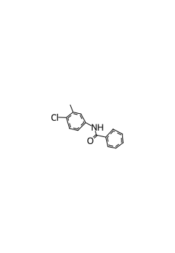 Cc1cc(NC(=O)c2ccccc2)ccc1Cl